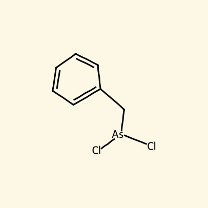 Cl[As](Cl)Cc1ccccc1